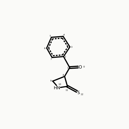 O=C(c1ccccc1)C1CNC1=S